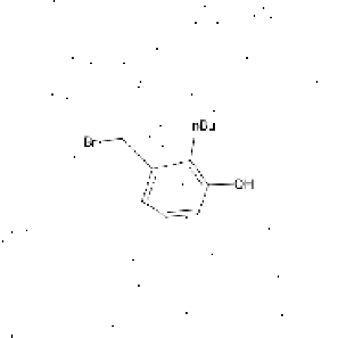 CCCCc1c(O)cccc1CBr